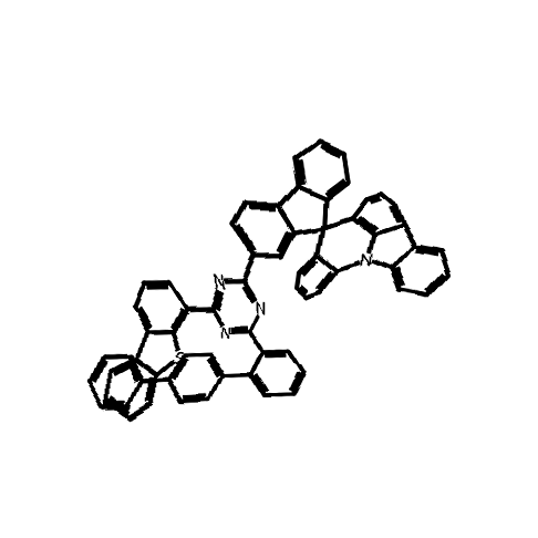 c1ccc(-c2ccc(-c3ccccc3-c3nc(-c4ccc5c(c4)C4(c6ccccc6-5)c5ccccc5-n5c6ccccc6c6cccc4c65)nc(-c4cccc5c4sc4ccccc45)n3)cc2)cc1